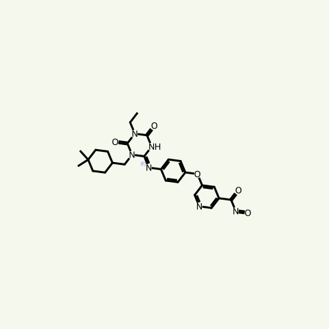 CCn1c(=O)[nH]/c(=N\c2ccc(Oc3cncc(C(=O)N=O)c3)cc2)n(CC2CCC(C)(C)CC2)c1=O